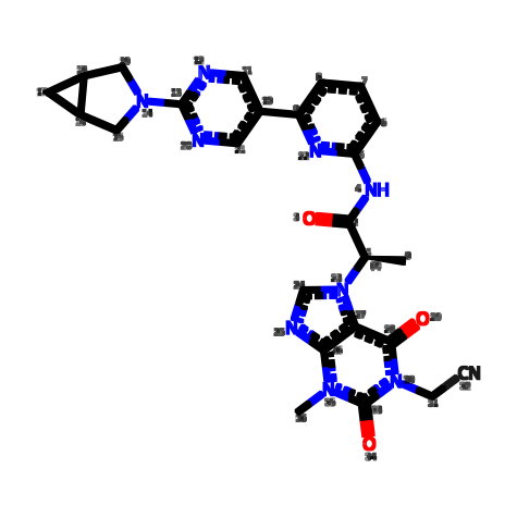 C[C@H](C(=O)Nc1cccc(-c2cnc(N3CC4CC4C3)nc2)n1)n1cnc2c1c(=O)n(CC#N)c(=O)n2C